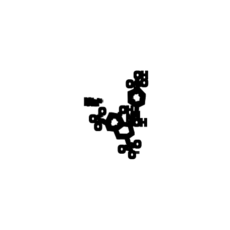 O=S(=O)([O-])C1=Cc2cc(S(=O)(=O)[O-])cc(O)c2C(O)(N=Nc2ccc(S(=O)(=O)O)cc2)C1.[Na+].[Na+]